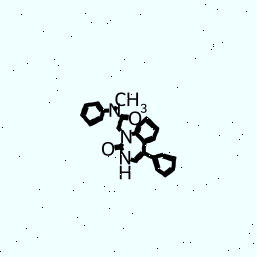 CN(C(=O)CN1C(=O)NC=C(c2ccccc2)c2ccccc21)c1ccccc1